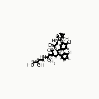 CCC(CNS(=O)(=O)C1(C)CC1)N1C(=O)C(C)(CC(=O)NCCC(O)CO)CC(c2cccc(Cl)c2)C1c1ccc(Cl)cc1